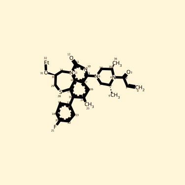 C=CC(=O)N1[C@H](C)CN(c2nc(=O)n3c4c(c(-c5ccc(F)cc5)c(C)cc24)SC[C@@H](OCC)C3)C[C@@H]1C